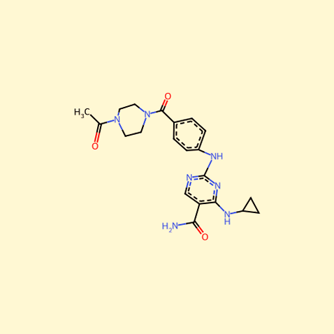 CC(=O)N1CCN(C(=O)c2ccc(Nc3ncc(C(N)=O)c(NC4CC4)n3)cc2)CC1